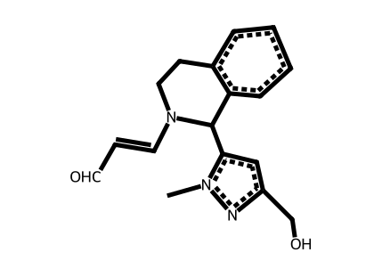 Cn1nc(CO)cc1C1c2ccccc2CCN1C=CC=O